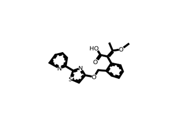 COC(C)=C(C(=O)O)c1ccccc1COc1csc(-c2ccccn2)n1